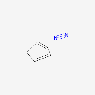 C1=CCC=C1.N#N